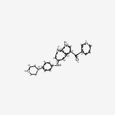 O=C(c1cccnc1)c1c[nH]c2ncc(Nc3ccc(N4CCOCC4)cc3)cc12